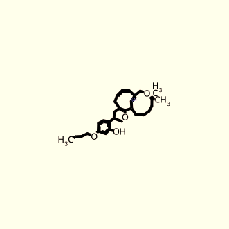 CCCCOc1ccc(C2COC3=C(CC=C=C/C4=C/C3CCCCC(C)(C)OC4)C2)c(O)c1